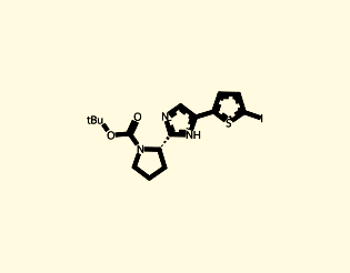 CC(C)(C)OC(=O)N1CCC[C@H]1c1ncc(-c2ccc(I)s2)[nH]1